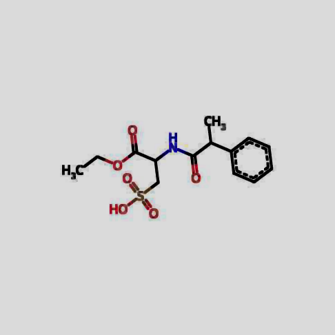 CCOC(=O)C(CS(=O)(=O)O)NC(=O)C(C)c1ccccc1